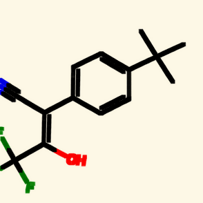 CC(C)(C)c1ccc(C(C#N)=C(O)C(F)(F)F)cc1